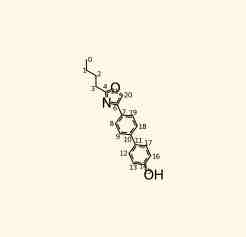 CCCCc1nc(-c2ccc(-c3ccc(O)cc3)cc2)co1